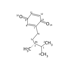 CC(C)[C@H](C)CCC1=CC(=O)C=CC1=O